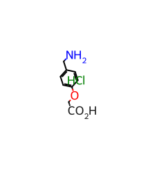 Cl.NCc1ccc(OCC(=O)O)cc1